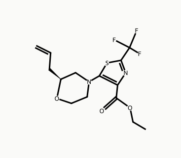 C=CC[C@H]1CN(c2sc(C(F)(F)F)nc2C(=O)OCC)CCO1